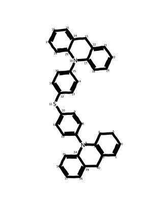 C1=CC2=C(CC1)N(c1ccc(Sc3ccc(N4c5ccccc5Cc5ccccc54)cc3)cc1)c1ccccc1C2